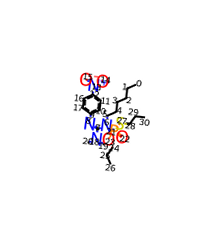 CCCCCCN(C(=Nc1ccc([N+](=O)[O-])cc1)N(C)C)P(=O)(OCCC)SCCC